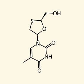 Cc1cn([C@H]2CS[C@@H](CO)O2)c(=O)[nH]c1=O